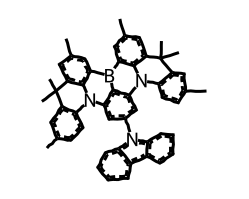 Cc1ccc2c(c1)C(C)(C)c1cc(C)cc3c1N2c1cc(-n2c4ccccc4c4ccccc42)cc2c1B3c1cc(C)cc3c1N2c1ccc(C)cc1C3(C)C